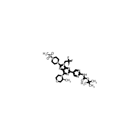 C[C@H]1COCCN1c1nc(-c2cnc(NC(=O)OC(C)(C)C)nc2)nc2c1nc(N1CCN(S(C)(=O)=O)CC1)n2CC(F)(F)F